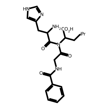 CC(C)CC(C(=O)O)N(C(=O)CNC(=O)c1ccccc1)C(=O)C(N)Cc1c[nH]cn1